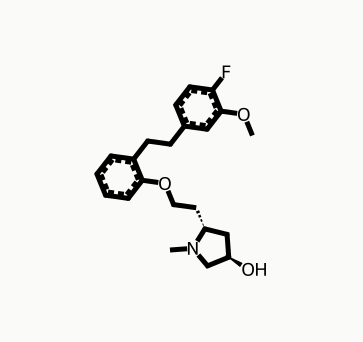 COc1cc(CCc2ccccc2OCC[C@@H]2C[C@@H](O)CN2C)ccc1F